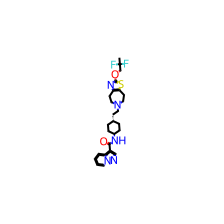 CC(F)(F)COc1nc2c(s1)CCN(CC[C@H]1CC[C@H](NC(=O)c3cnn4ccccc34)CC1)CC2